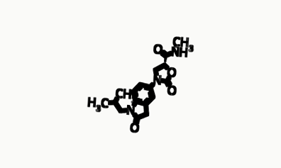 CNC(=O)[C@H]1CN(c2ccc3c(c2)CC(=O)N3CC(C)C)C(=O)O1